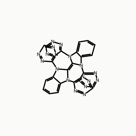 c1ccc2c(c1)N(c1nncnn1)C(=C1N(c3nncnn3)c3ccccc3N1c1nncnn1)N2c1nncnn1